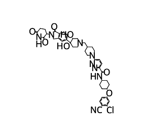 N#Cc1ccc(OC2CCC(NC(=O)c3ccc(N4CCC(CN5CC[C@](O)(c6ccc7c(c6)CN(C6CCC(=O)NC6=O)C7=O)[C@@H](O)C5)CC4)nn3)CC2)cc1Cl